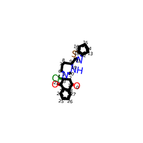 O=C1CC(Cl)(N2CCCC(c3nc4ccccc4s3)NC2)C(=O)c2ccccc21